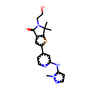 Cn1nccc1Nc1cc(-c2cc3c(s2)C(C)(C)N(CCO)C3=O)ccn1